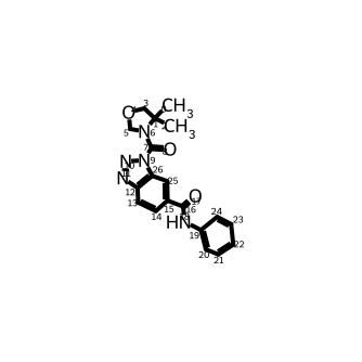 CC1(C)COCN1C(=O)n1nnc2ccc(C(=O)Nc3ccccc3)cc21